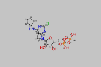 CP(=O)(O)OP(=O)(O)OC[C@H]1O[C@@H](n2ccc3c(NC4CCCC4)nc(Cl)nc32)[C@H](O)[C@@H]1O